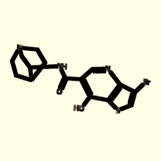 O=C(NC1CN2CCC1CC2)c1cnc2c(Br)csc2c1O